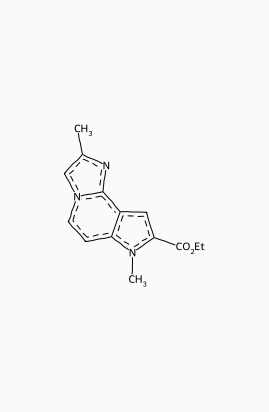 CCOC(=O)c1cc2c(ccn3cc(C)nc23)n1C